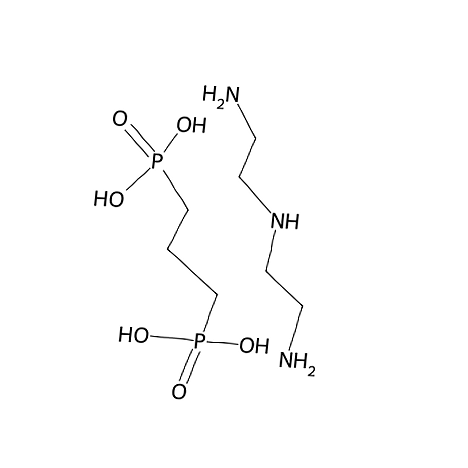 NCCNCCN.O=P(O)(O)CCCP(=O)(O)O